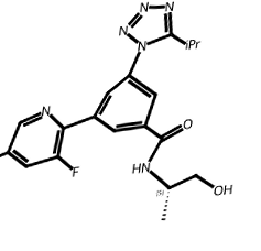 Cc1cnc(-c2cc(C(=O)N[C@@H](C)CO)cc(-n3nnnc3C(C)C)c2)c(F)c1